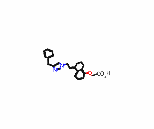 O=C(O)COc1cccc2c1CCCC2=CCn1cnc(Cc2ccccc2)c1